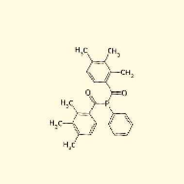 Cc1ccc(C(=O)P(C(=O)c2ccc(C)c(C)c2C)c2ccccc2)c(C)c1C